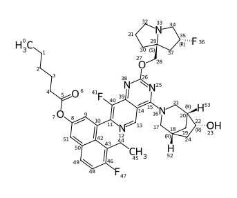 CCCCCC(=O)Oc1cc(-c2ncc3c(N4C[C@@H]5C[C@H](C4)[C@H](O)C5)nc(OC[C@@]45CCCN4C[C@H](F)C5)nc3c2F)c2c(CC)c(F)ccc2c1